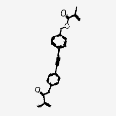 C=C(C)C(=O)Cc1ccc(C#Cc2ccc(COC(=O)C(=C)C)cc2)cc1